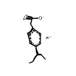 CC(C)c1ccc(C(=O)[O-])cc1.[K+]